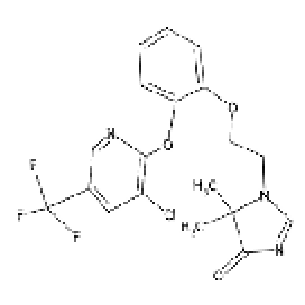 CC1(C)C(=O)N=CN1CCOc1ccccc1Oc1ncc(C(F)(F)F)cc1Cl